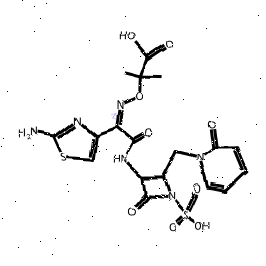 CC(C)(O/N=C(\C(=O)NC1C(=O)N(S(=O)(=O)O)C1Cn1ccccc1=O)c1csc(N)n1)C(=O)O